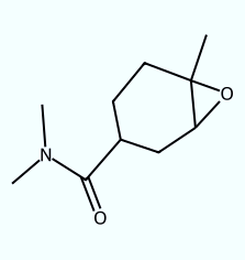 CN(C)C(=O)C1CCC2(C)OC2C1